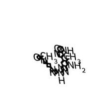 Cc1c(-c2cc3nc(Nc4cnn(C5CC6(C5)CN(C5(C)COC5)C6)c4)ncc3c(N)c2F)cnc2c1NCCO2